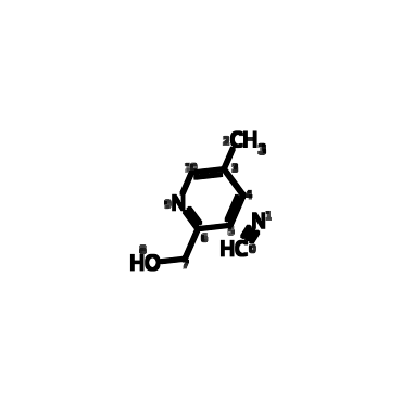 C#N.Cc1ccc(CO)nc1